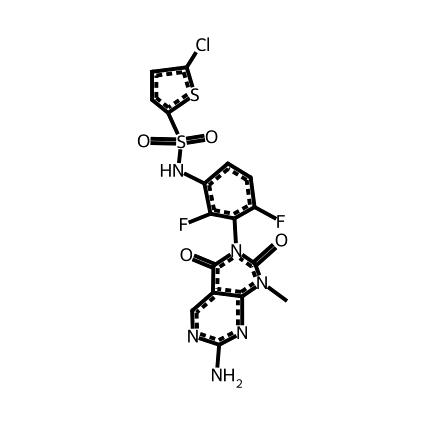 Cn1c(=O)n(-c2c(F)ccc(NS(=O)(=O)c3ccc(Cl)s3)c2F)c(=O)c2cnc(N)nc21